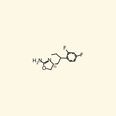 CCC(C[C@H]1COC(N)=N1)c1ccc(F)cc1F